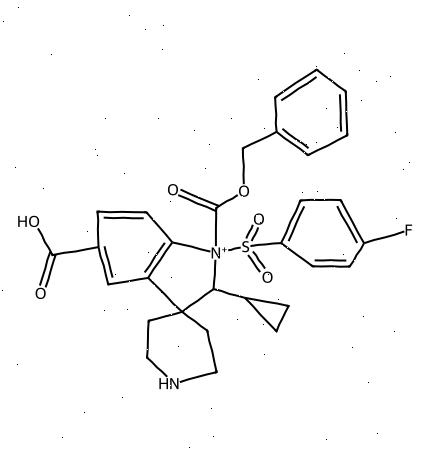 O=C(O)c1ccc2c(c1)C1(CCNCC1)C(C1CC1)[N+]2(C(=O)OCc1ccccc1)S(=O)(=O)c1ccc(F)cc1